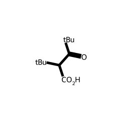 CC(C)(C)C(=O)C(C(=O)O)C(C)(C)C